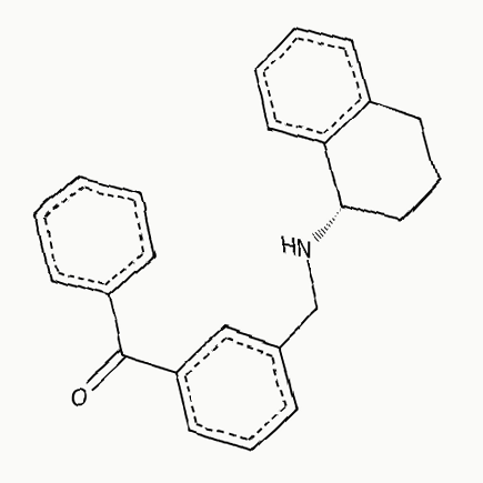 O=C(c1ccccc1)c1cccc(CN[C@H]2CCCc3ccccc32)c1